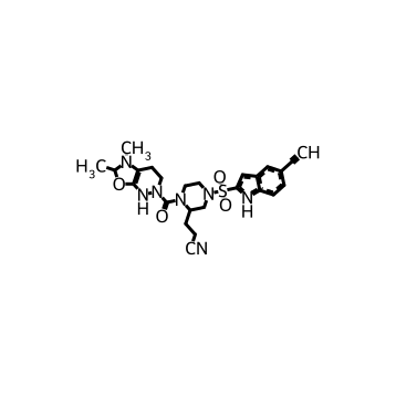 C#Cc1ccc2[nH]c(S(=O)(=O)N3CCN(C(=O)N4CCC5=C(N4)OC(C)N5C)C(CCC#N)C3)cc2c1